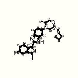 C[C@H]1CO[C@H](CN2CCC2)CN1c1ccc2nc(-c3n[nH]c4cc(F)ccc34)[nH]c2c1